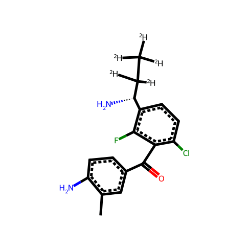 [2H]C([2H])([2H])C([2H])([2H])[C@@H](N)c1ccc(Cl)c(C(=O)c2ccc(N)c(C)c2)c1F